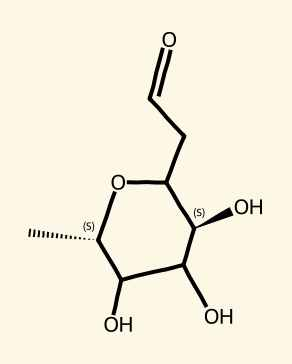 C[C@@H]1OC(CC=O)[C@@H](O)C(O)C1O